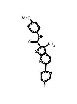 COc1ccc(NC(=O)c2sc3nc(-c4ccc(F)cc4)ccc3c2N)cc1